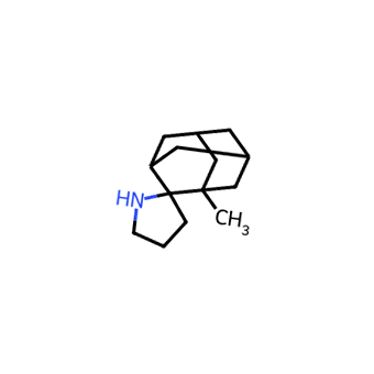 CC12CC3CC(CC(C3)C13CCCN3)C2